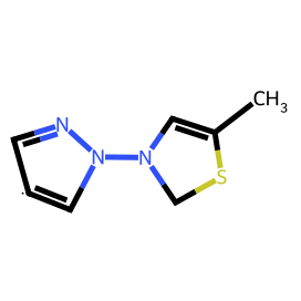 CC1=CN(n2c[c]cn2)CS1